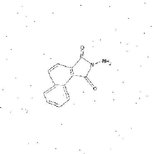 NN1C(=O)c2ccc3ccccc3c2C1=O